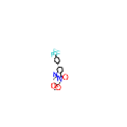 O=c1c2ccc(-c3ccc(C(F)(F)F)cc3)cc2nc2n1CCC1(CC2)OCCO1